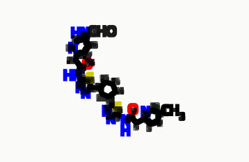 Cc1ccc(CC(=O)Nc2nnc([C@H]3CCC[C@H](c4nnc(NC(=O)Cc5ccc(NC=O)cn5)s4)C3)s2)nc1